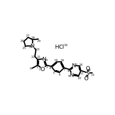 Cc1oc(-c2ccc(-c3ncc(S(C)(=O)=O)cn3)cc2)nc1CCN1CCCC1C.Cl